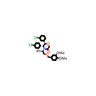 COc1ccc(COC[C@@H](C(C)C)N2C(=O)CO[C@H](c3cccc(Cl)c3)[C@H]2c2ccc(Cl)cc2)cc1OC